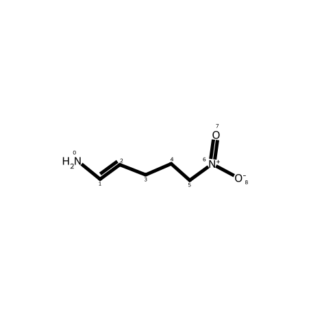 NC=CCCC[N+](=O)[O-]